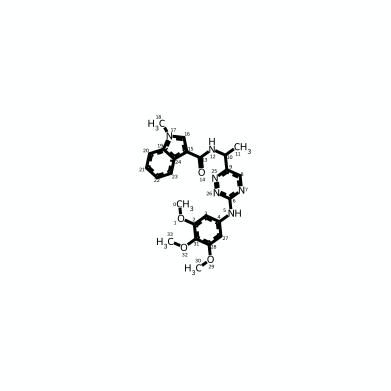 COc1cc(Nc2ncc(C(C)NC(=O)c3cn(C)c4ccccc34)nn2)cc(OC)c1OC